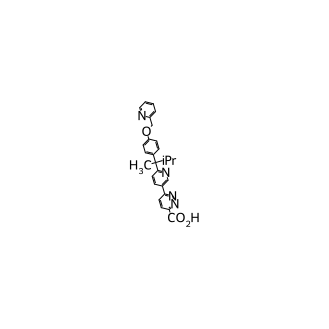 CC(C)C(C)(c1ccc(OCc2ccccn2)cc1)c1ccc(-c2ccc(C(=O)O)nn2)cn1